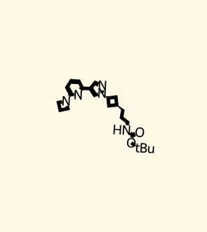 CC(C)(C)OC(=O)NCCC[C@H]1C[C@H](n2cc(-c3cccc(N4CCC4)n3)cn2)C1